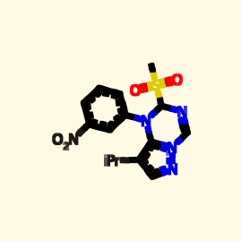 CC(C)c1cnn2c1N(c1cccc([N+](=O)[O-])c1)C(S(C)(=O)=O)N=C2